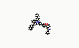 c1ccc(-c2ccc(N(c3ccc(-c4ccc5ccccc5c4)cc3)c3ccc(-c4ccc5c(c4)oc4ccc6nc(-c7ccccc7)sc6c45)cc3)c(-c3ccccc3)c2)cc1